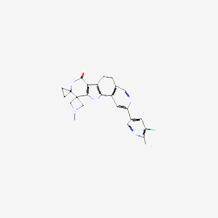 CCN1CC2(C1)c1[nH]c3c(c1C(=O)NC21CC1)CCc1cnc(-c2cnc(OC)c(F)c2)cc1-3